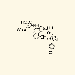 CSCC[C@H](NC(=O)c1ccc(COCc2cnc(-c3ccc(Cl)cc3)o2)cc1-c1ccccc1C)C(=O)O.[LiH]